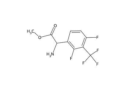 COC(=O)C(N)c1ccc(F)c(C(F)(F)F)c1F